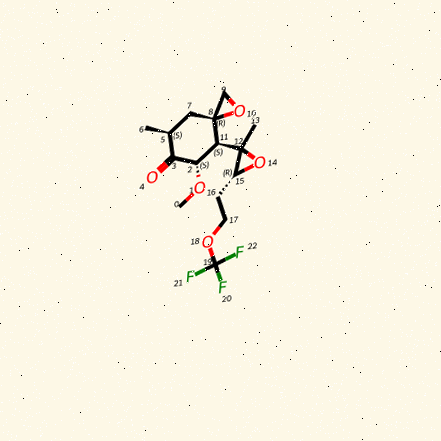 CO[C@@H]1C(=O)[C@@H](C)C[C@]2(CO2)[C@H]1C1(C)O[C@@H]1CCOC(F)(F)F